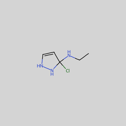 CCNC1(Cl)C=CNN1